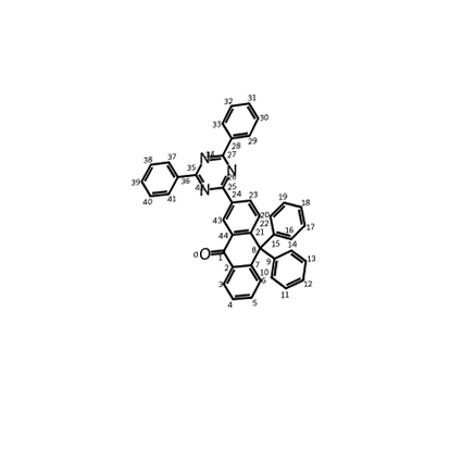 O=C1c2ccccc2C(c2ccccc2)(c2ccccc2)c2ccc(-c3nc(-c4ccccc4)nc(-c4ccccc4)n3)cc21